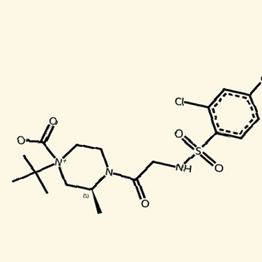 C[C@H]1C[N+](C(=O)[O-])(C(C)(C)C)CCN1C(=O)CNS(=O)(=O)c1ccc(Cl)cc1Cl